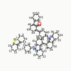 c1cc(-c2cccc3sc4ccccc4c23)cc(-n2c3ccccc3c3c(-c4cccc5c6ccccc6n(-c6ccc(-c7cccc8c7oc7ccccc78)cc6)c45)cccc32)c1